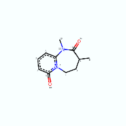 CC1CCn2c(cccc2=O)N(C)C1=O